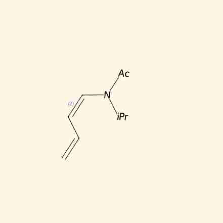 C=C/C=C\N(C(C)=O)C(C)C